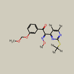 [2H]ON=C(C(=O)c1cccc(OCOC)c1)c1nc(SC([2H])([2H])[2H])nc([2H])c1[2H]